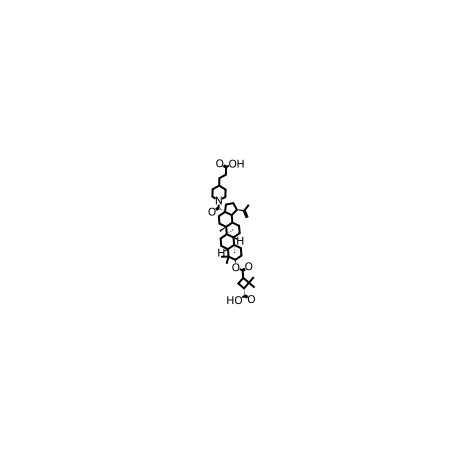 C=C(C)[C@@H]1CC[C@]2(C(=O)N3CCC(CCC(=O)O)CC3)CC[C@]3(C)C(CC[C@@H]4[C@@]5(C)CC[C@H](OC(=O)C6C[C@@H](C(=O)O)C6(C)C)C(C)(C)[C@@H]5CC[C@]43C)C12